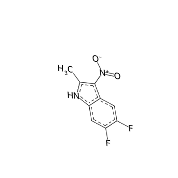 Cc1[nH]c2cc(F)c(F)cc2c1[N+](=O)[O-]